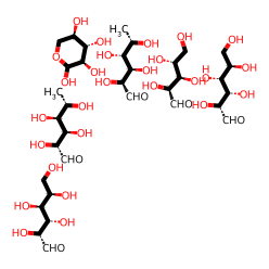 C[C@H](O)[C@@H](O)[C@@H](O)[C@H](O)C=O.C[C@H](O)[C@H](O)[C@@H](O)[C@@H](O)C=O.O=C[C@@H](O)[C@H](O)[C@H](O)CO.O=C[C@H](O)[C@@H](O)[C@@H](O)[C@H](O)CO.O=C[C@H](O)[C@@H](O)[C@H](O)[C@H](O)CO.OC1OC[C@@H](O)[C@H](O)[C@H]1O